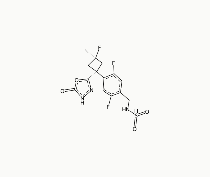 C[C@]1(F)C[C@@](c2n[nH]c(=O)o2)(c2cc(F)c(CN[SH](=O)=O)cc2F)C1